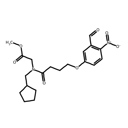 COC(=O)CN(CC1CCCC1)C(=O)CCCOc1ccc([N+](=O)[O-])c(C=O)c1